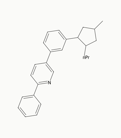 CCCC1CC(C)CC1c1cccc(-c2ccc(-c3ccccc3)nc2)c1